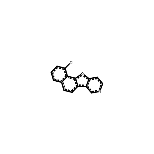 Clc1cccc2ccc3c4cnccc4oc3c12